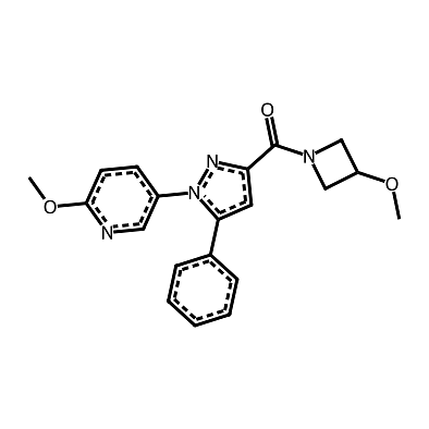 COc1ccc(-n2nc(C(=O)N3CC(OC)C3)cc2-c2ccccc2)cn1